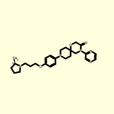 C[C@@H]1CCCN1CCCOc1ccc(N2CCC3(CC2)CN(c2cnccn2)C(=O)CO3)cc1